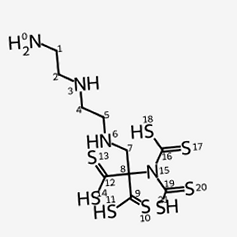 NCCNCCNCC(C(=S)S)(C(=S)S)N(C(=S)S)C(=S)S